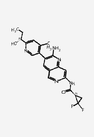 CC[C@@H](O)c1cc(C)c(-c2cc3cnc(NC(=O)[C@H]4CC4(F)F)cc3nc2N)cn1